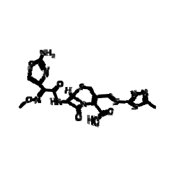 CON=C(C(=O)NC1C(=O)N2C(C(=O)O)=C(CSc3nnc(C)s3)CS[C@@H]12)c1csc(N)n1